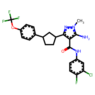 Cn1nc(C2CCC(c3ccc(OC(F)(F)F)cc3)C2)c(C(=O)Nc2ccc(F)c(Cl)c2)c1N